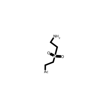 CC(=O)CCS(=O)(=O)CCN